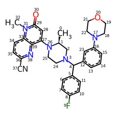 C[C@H]1CN(C(c2ccc(F)cc2)c2cccc(N3CCOCC3)c2)CCN1c1cc(=O)n(C)c2ccc(C#N)nc12